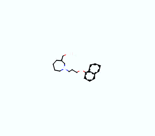 Cl.OCC1CCCCN(CCCOc2cccc3ccccc23)C1